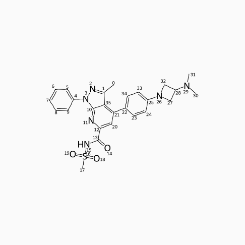 Cc1nn(-c2ccccc2)c2nc(C(=O)NS(C)(=O)=O)cc(-c3ccc(N4CC(N(C)C)C4)cc3)c12